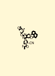 C=C(F)C(=O)N1CCN(c2nc(O[C@@H](C)CN(C)C3COC3)nc3c2CCN(c2cccc4cccc(Cl)c24)C3)C[C@@H]1CC#N